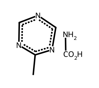 Cc1ncncn1.NC(=O)O